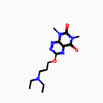 CCN(CC)CCCOc1nnc2c(n1)c(=O)n(C)c(=O)n2C